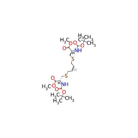 COC(=O)[C@H](CSC/C=C\CSC[C@H](NC(=O)OC(C)(C)C)C(=O)OC)NC(=O)OC(C)(C)C